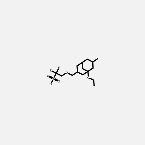 CCOC12CC(C)CC(CC(COCC(F)(F)S(=O)(=O)O)C1)C2